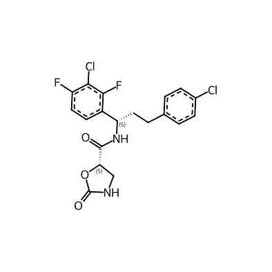 O=C1NC[C@@H](C(=O)N[C@@H](CCc2ccc(Cl)cc2)c2ccc(F)c(Cl)c2F)O1